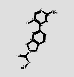 CC(C)(C)OC(=O)N1Cc2ccc(-c3cc([N+](=O)[O-])ncc3Cl)cc2C1